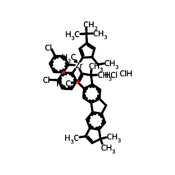 Cl.Cl.[CH2]=[Zr]([C]1=CC(C(C)(C)C)=CC1CC)([C]1=C(C)c2cc3c(cc2C1(C)C)Cc1cc2c(cc1-3)C(C)=CC2(C)C)([c]1cccc(Cl)c1)[c]1cccc(Cl)c1